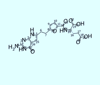 Nc1nc2[nH]c(CCc3ccc(C(=O)N[C@@H](CCC(=O)O)C(=O)O)o3)cc2c(=O)[nH]1